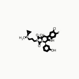 CN(CCCN1C(=O)N2[C@H](c3cccc(O)c3)c3[nH]c4cc(F)c(Cl)cc4c3C[C@@]2(C)C1=O)C1CC1